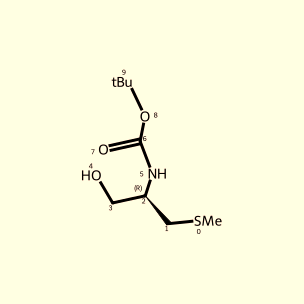 CSC[C@@H](CO)NC(=O)OC(C)(C)C